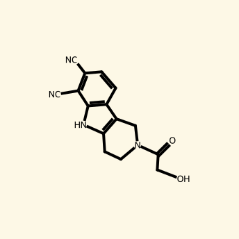 N#Cc1ccc2c3c([nH]c2c1C#N)CCN(C(=O)CO)C3